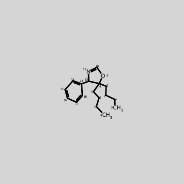 CCCCC1(CCCC)OC=NC1c1ccccc1